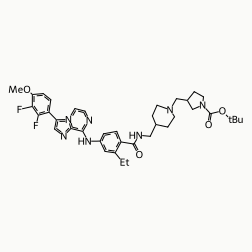 CCc1cc(Nc2nccn3c(-c4ccc(OC)c(F)c4F)cnc23)ccc1C(=O)NCC1CCN(CC2CCN(C(=O)OC(C)(C)C)C2)CC1